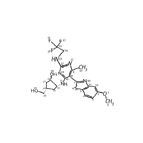 COc1ccc2sc(-c3c(C)nc(NCC(F)(F)F)nc3N[C@@H]3C[C@H](CO)C[C@H]3O)nc2c1